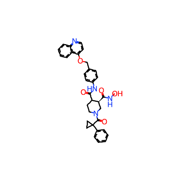 O=C(Nc1ccc(COc2ccnc3ccccc23)cc1)C1CCN(C(=O)C2(c3ccccc3)CC2)C[C@@H]1C(=O)NO